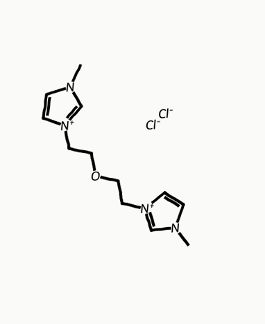 Cn1cc[n+](CCOCC[n+]2ccn(C)c2)c1.[Cl-].[Cl-]